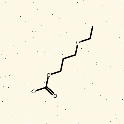 CCOCCCOC([O])=O